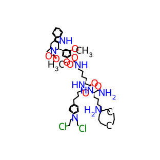 COc1cc([C@@H]2c3[nH]c4ccccc4c3CC3COC(=O)N32)cc(OC)c1OC(=O)NCCCC[C@H](NC(=O)CCCc1ccc(N(CCCl)CCCl)cc1)C(=O)N[C@H](CCCCC1(N)CCCCCCCCCC1)C(N)=O